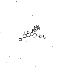 COc1ccc2c(c1)C(Cc1nnn[nH]1)=C(C)C2=Cc1cccc(Cl)c1